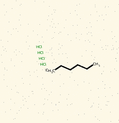 CCCCCC.Cl.Cl.Cl.Cl.[C]